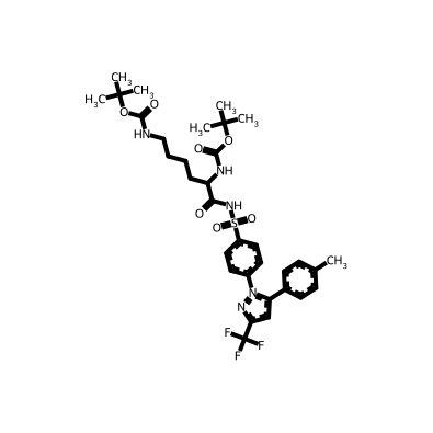 Cc1ccc(-c2cc(C(F)(F)F)nn2-c2ccc(S(=O)(=O)NC(=O)C(CCCCNC(=O)OC(C)(C)C)NC(=O)OC(C)(C)C)cc2)cc1